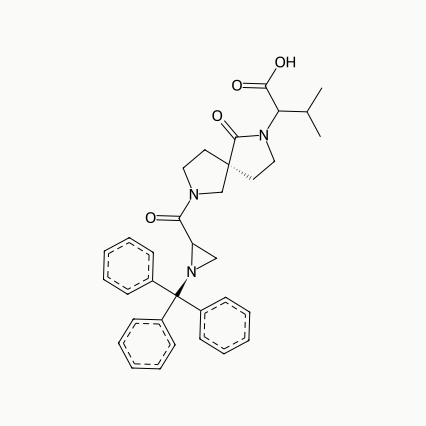 CC(C)C(C(=O)O)N1CC[C@]2(CCN(C(=O)C3C[N@@]3C(c3ccccc3)(c3ccccc3)c3ccccc3)C2)C1=O